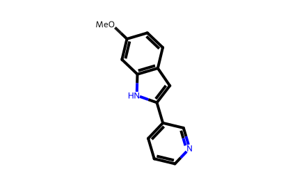 COc1ccc2cc(-c3cccnc3)[nH]c2c1